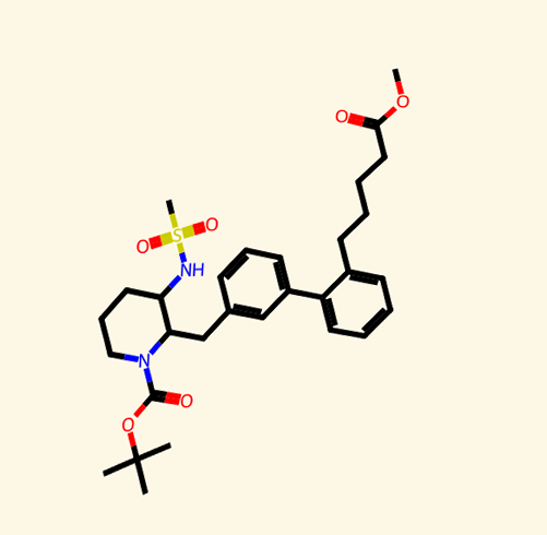 COC(=O)CCCCc1ccccc1-c1cccc(CC2C(NS(C)(=O)=O)CCCN2C(=O)OC(C)(C)C)c1